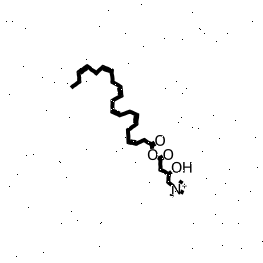 CC/C=C\C/C=C\C/C=C\C/C=C\C/C=C\C/C=C\CC(=O)OC(=O)CC(O)C[N+](C)(C)C